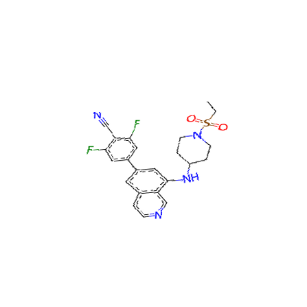 CCS(=O)(=O)N1CCC(Nc2cc(-c3cc(F)c(C#N)c(F)c3)cc3ccncc23)CC1